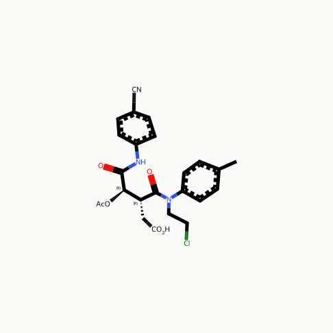 CC(=O)O[C@@H](C(=O)Nc1ccc(C#N)cc1)[C@@H](CC(=O)O)C(=O)N(CCCl)c1ccc(C)cc1